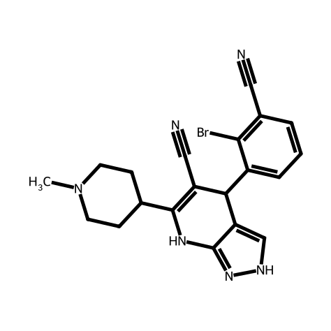 CN1CCC(C2=C(C#N)C(c3cccc(C#N)c3Br)c3c[nH]nc3N2)CC1